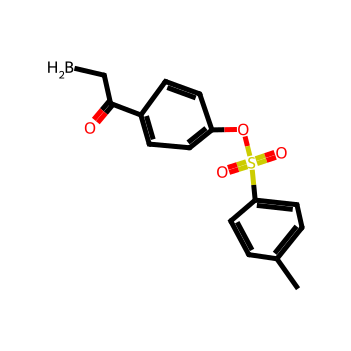 BCC(=O)c1ccc(OS(=O)(=O)c2ccc(C)cc2)cc1